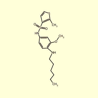 CCCCCCNc1ccc(NS(=O)(=O)c2ccsc2C)cc1OC